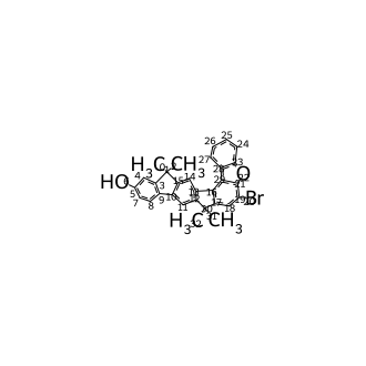 CC1(C)c2cc(O)ccc2-c2cc3c(cc21)-c1c(cc(Br)c2oc4ccccc4c12)C3(C)C